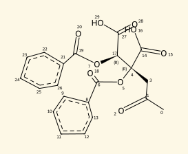 CC(=O)C[C@](OC(=O)c1ccccc1)(C(=O)O)[C@@H](OC(=O)c1ccccc1)C(=O)O